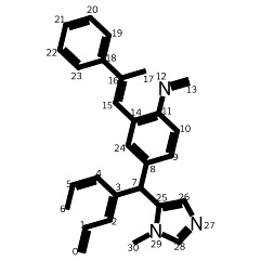 C=C/C=C(\C=C/C)C(c1ccc(N=C)c(/C=C(\C)c2ccccc2)c1)c1cncn1C